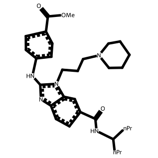 CCCC(CCC)NC(=O)c1ccc2nc(Nc3ccc(C(=O)OC)cc3)n(CCCN3CCCCC3)c2c1